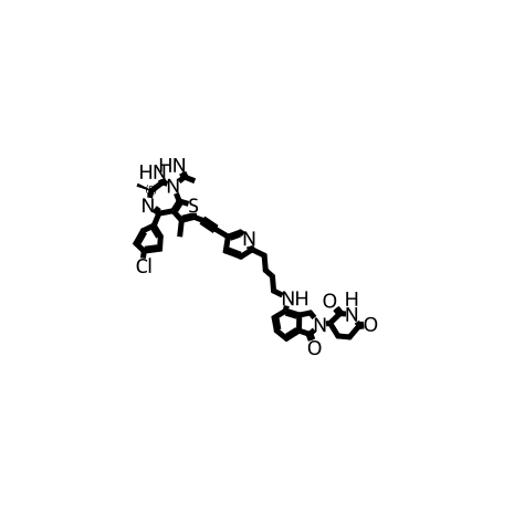 CC(=N)N1C(=N)[C@H](C)N=C(c2ccc(Cl)cc2)c2c1sc(C#Cc1ccc(CCCCNc3cccc4c3CN(C3CCC(=O)NC3=O)C4=O)nc1)c2C